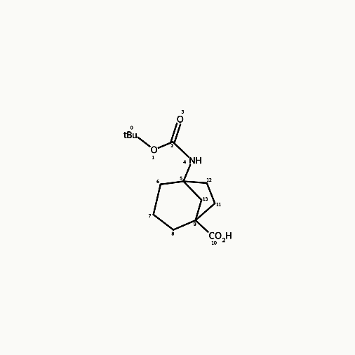 CC(C)(C)OC(=O)NC12CCCC(C(=O)O)(CC1)C2